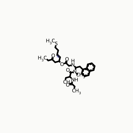 CCC(=O)CC(/C=C/CCSC)OC(=O)CNC(Cc1cccc2ccccc12)N(C)C(=O)C(CC)NC(=O)CC